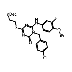 CCCCCCCCCCCCSc1nc(Nc2ccc(OC(C)C)c(F)c2)n(Cc2ccc(Cl)cc2)c(=O)n1